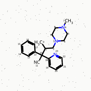 CC(CN1CCN(C)CC1)C(C#N)(c1ccccc1)c1ccccn1